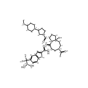 COC1CCN(C2CCN(C(=O)[C@@H]3CC[C@@H]4CCN(C(C)=O)C[C@H](NC(=O)c5cc6cc(C(F)(F)P(O)O)ccc6s5)C(=O)N43)C2)CC1